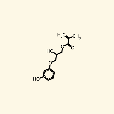 C=C(C)C(=O)OCC(O)COc1cccc(O)c1